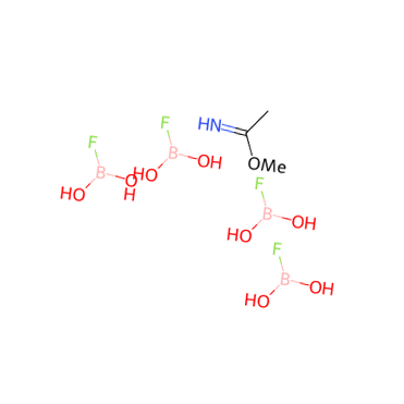 COC(C)=N.OB(O)F.OB(O)F.OB(O)F.OB(O)F